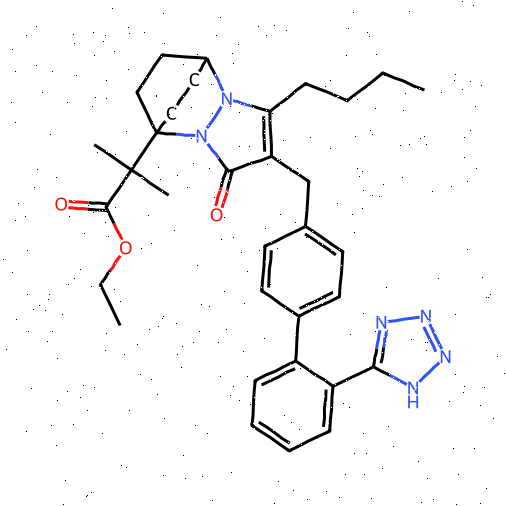 CCCCc1c(Cc2ccc(-c3ccccc3-c3nnn[nH]3)cc2)c(=O)n2n1C1CCC2(C(C)(C)C(=O)OCC)CC1